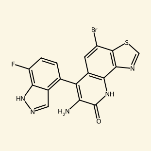 Nc1c(-c2ccc(F)c3[nH]ncc23)c2cc(Br)c3scnc3c2[nH]c1=O